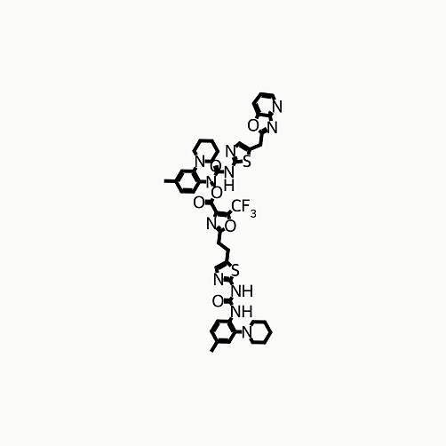 Cc1ccc(NC(=O)Nc2ncc(CCc3nc(C(=O)ON(C(=O)Nc4ncc(Cc5nc6ncccc6o5)s4)c4ccc(C)cc4N4CCCCC4)c(C(F)(F)F)o3)s2)c(N2CCCCC2)c1